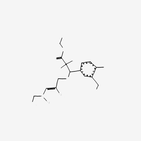 CCOC(=O)C(F)(F)C(OC/C(N)=C/N(N)CC)c1ccc(C)c(CO)c1